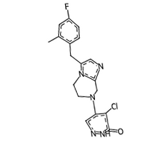 Cc1cc(F)ccc1Cc1cnc2n1CCN(c1cn[nH]c(=O)c1Cl)C2